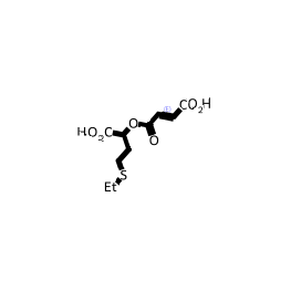 CCSCCC(OC(=O)/C=C/C(=O)O)C(=O)O